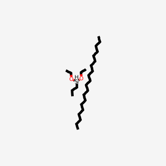 CCCCCCCCCCCCCCCCCCCC.CCC[SiH](OCC)OCC